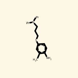 Cc1cc(SCCCN(C(C)C)C(C)C)ccc1N